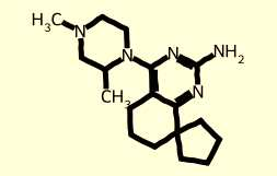 CC1CN(C)CCN1c1nc(N)nc2c1CCCC21CCCC1